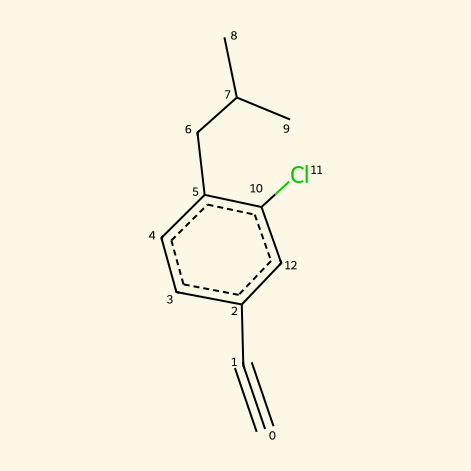 C#Cc1ccc(CC(C)C)c(Cl)c1